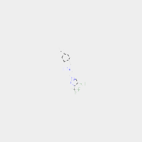 CC(C)(C)c1ccc(CNCCn2cc(Cl)c(C(F)(F)F)n2)cc1